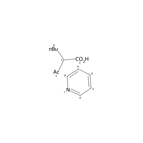 CCCCC(C(C)=O)C(=O)O.c1ccncc1